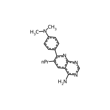 CCCc1cc2c(N)ncnc2nc1-c1ccc(N(C)C)cc1